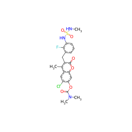 CNS(=O)(=O)Nc1cccc(Cc2c(C)c3cc(Cl)c(OC(=O)N(C)C)cc3oc2=O)c1F